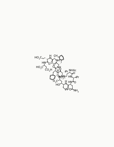 CC(=O)N[C@@H](CCC(=O)O)C(=O)N[C@H](C(=O)N[C@@H](CC(N)=O)C(=O)N[C@@H](CC(C)C)[C@@H](O)C[C@@H](C)C(=O)N[C@H](C(=O)N[C@@H](Cc1ccccc1)C(=O)N[C@@H](Cc1ccccc1)C(=O)N[C@@H](C)C(=O)N[C@@H](CCC(=O)O)C(=O)N[C@@H](CC(=O)O)C(=O)O)C(C)C)C(C)C